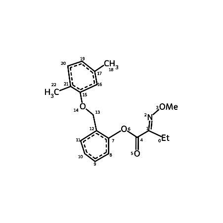 CCC(=NOC)C(=O)Oc1ccccc1COc1cc(C)ccc1C